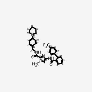 Cn1cc(NC(=O)c2ccccc2-c2ccc(C(F)(F)F)cc2)nc1C(=O)NCc1ccc(N2CCCCC2)cc1